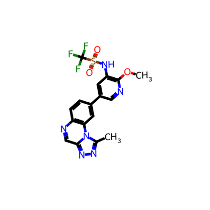 COc1ncc(-c2ccc3ncc4nnc(C)n4c3c2)cc1NS(=O)(=O)C(F)(F)F